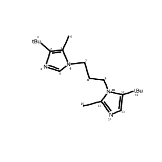 Cc1c(C(C)(C)C)ncn1CCCn1c(C(C)(C)C)cnc1C